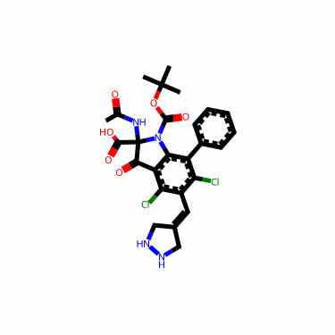 CC(=O)NC1(C(=O)O)C(=O)c2c(Cl)c(C=C3CNNC3)c(Cl)c(-c3ccccc3)c2N1C(=O)OC(C)(C)C